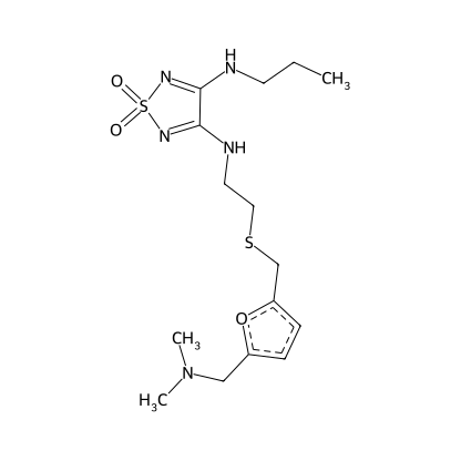 CCCNC1=NS(=O)(=O)N=C1NCCSCc1ccc(CN(C)C)o1